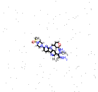 C/C(N)=C(\c1cnc2c3ccc(N4CCN([S+](C)[O-])CC4)nc3n(CC3CCOCC3)c2c1)N(C)N